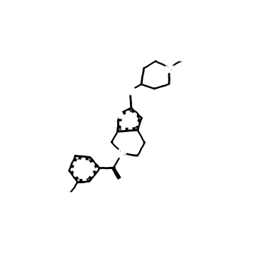 CC(C)N1CCC(Oc2cc3c(s2)CN(C(=O)c2cccc(Cl)c2)CC3)CC1